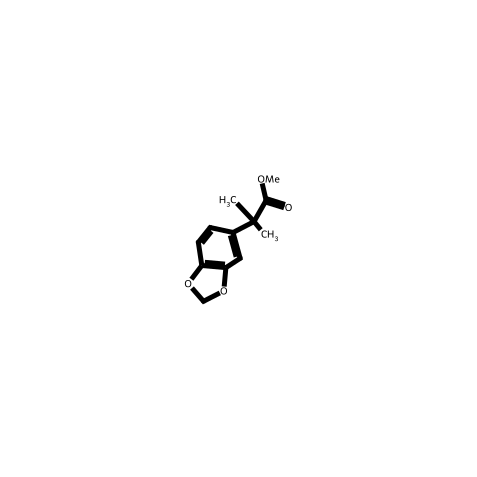 COC(=O)C(C)(C)c1ccc2c(c1)OCO2